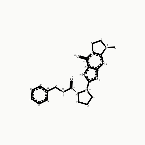 CN1CCn2c1nc1sc(N3CCC[C@@H]3C(=O)NCc3ccccc3)nc1c2=O